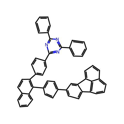 c1ccc(-c2nc(-c3ccccc3)nc(-c3ccc(-c4ccc5ccccc5c4-c4ccc(-c5ccc6c(c5)-c5cccc7cccc-6c57)cc4)cc3)n2)cc1